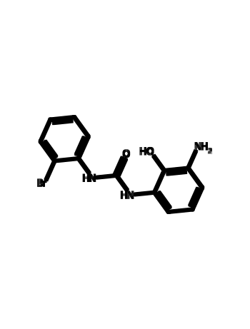 Nc1cccc(NC(=O)Nc2ccccc2Br)c1O